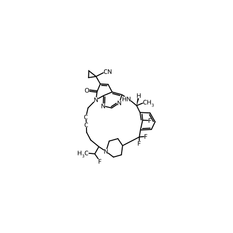 CC(F)C1CCCCCn2c(=O)c(C3(C#N)CC3)cc3c(ncnc32)N[C@H](C)c2cccc(c2F)C(F)(F)C2CCN1CC2